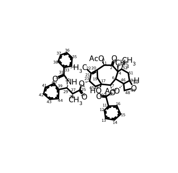 CC(=O)O[C@H]1C(=O)[C@@]2(C)C([C@H](OC(=O)c3ccccc3)[C@@]3(O)CC1=C(C)[C@@H](OC(=O)[C@H](C)[C@@H](NC(=O)c1ccccc1)c1ccccc1)C3)[C@]1(OC(C)=O)CO[C@@H]1C[C@@H]2C